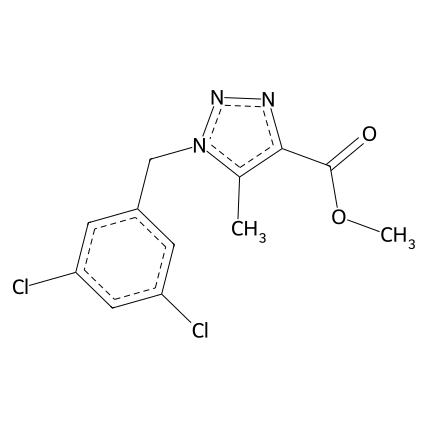 COC(=O)c1nnn(Cc2cc(Cl)cc(Cl)c2)c1C